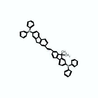 CC1(C)c2cc(/C=C/c3ccc4c(c3)Cc3cc(N(c5ccccc5)c5ccccc5)ccc3-4)ccc2-c2ccc(N(c3ccccc3)c3ccccc3)cc21